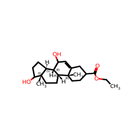 CCOC(=O)C1CC[C@@]2(C)C(=CC(O)[C@@H]3[C@H]2CC[C@]2(C)C(O)CC[C@@H]32)C1